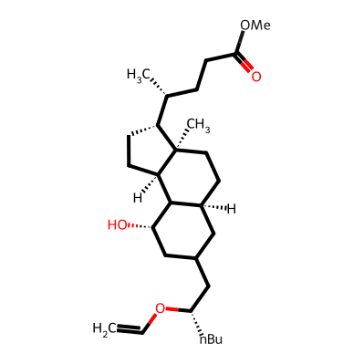 C=CO[C@@H](CCCC)CC1C[C@@H]2CC[C@@]3(C)[C@H](CC[C@@H]3[C@H](C)CCC(=O)OC)C2[C@@H](O)C1